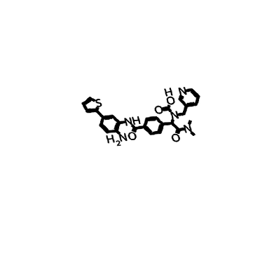 CN(C)C(=O)C(c1ccc(C(=O)Nc2cc(-c3cccs3)ccc2N)cc1)N(Cc1cccnc1)C(=O)O